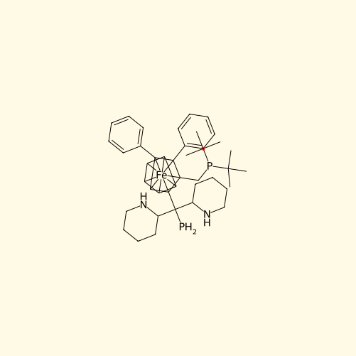 CC(C)(C)P(C[C]12[C]3(c4ccccc4)[C]4(c5ccccc5)[CH]5[C]1(C(P)(C1CCCCN1)C1CCCCN1)[Fe]54231678[CH]2[CH]1[CH]6[CH]7[CH]28)C(C)(C)C